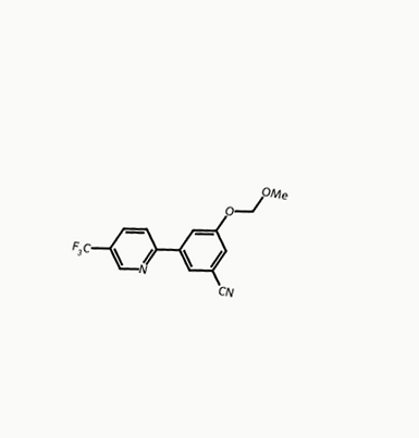 COCOc1cc(C#N)cc(-c2ccc(C(F)(F)F)cn2)c1